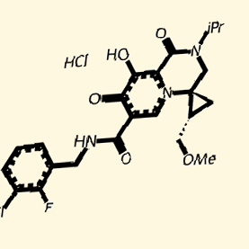 COC[C@H]1C[C@@]12CN(C(C)C)C(=O)c1c(O)c(=O)c(C(=O)NCc3cccc(Cl)c3F)cn12.Cl